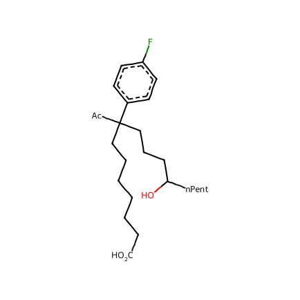 CCCCCC(O)CCCC(CCCCCCC(=O)O)(C(C)=O)c1ccc(F)cc1